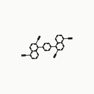 C#Cc1ccc2c(C#C)cccc2c1-c1ccc(-c2c(C#C)ccc3c(C#C)cccc23)cc1